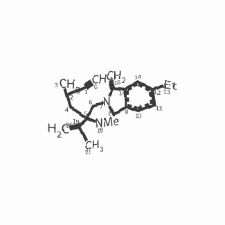 C#CC(C)CC(CN1Cc2ccc(CC)cc2C1=C)(NC)C(=C)C